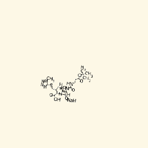 Cn1nnnc1SCC1=C(C(=O)O)N2C(=O)[C@@H]3[C@H]2[C@H](C1)CN3C(=O)NCCC(=O)OC(C)(C)C.[NaH]